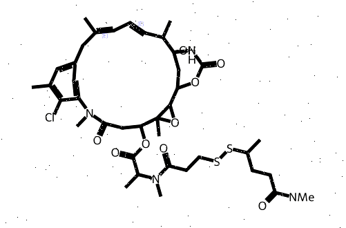 CNC(=O)CCC(C)SSCCC(=O)N(C)C(C)C(=O)OC1CC(=O)N(C)c2cc(cc(C)c2Cl)C/C(C)=C/C=C/C(C)C2(O)CC(OC(=O)N2)C2OC12C